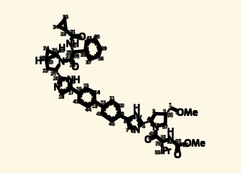 COC[C@H]1C[C@@H](c2ncc(-c3ccc(-c4ccc(-c5cnc([C@@H]6C[C@H]7C[C@H]7N6C(=O)[C@H](NC(=O)C6CC6)c6ccccc6)[nH]5)cc4)cc3)[nH]2)N(C(=O)[C@@H](NC(=O)OC)C(C)C)C1